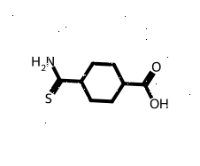 NC(=S)C1CCC(C(=O)O)CC1